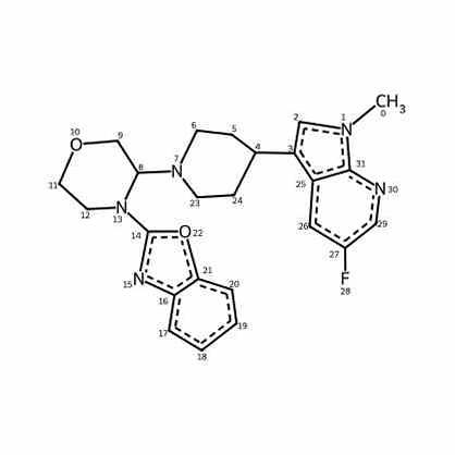 Cn1cc(C2CCN(C3COCCN3c3nc4ccccc4o3)CC2)c2cc(F)cnc21